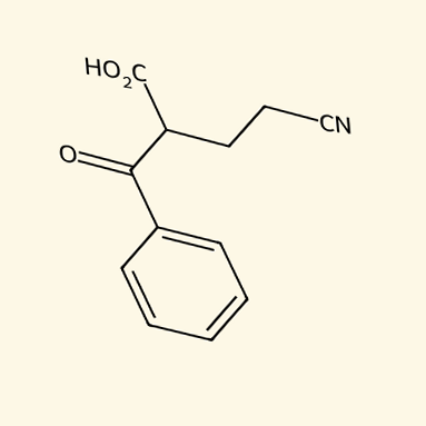 N#CCCC(C(=O)O)C(=O)c1ccccc1